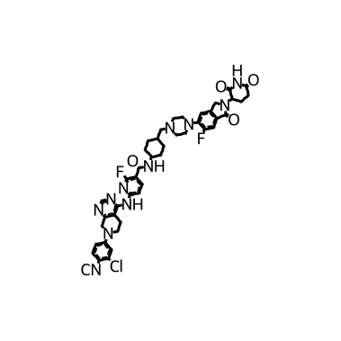 N#Cc1ccc(N2CCc3c(ncnc3Nc3ccc(C(=O)NC4CCC(CN5CCN(c6cc7c(cc6F)C(=O)N(C6CCC(=O)NC6=O)C7)CC5)CC4)c(F)n3)C2)cc1Cl